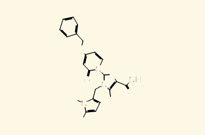 CC1=C(C(N)=O)SC(n2ccc(OCc3ccccc3)cc2=O)N1Cc1ccc(C)n1C